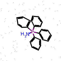 NP(c1ccccc1)(c1ccccc1)(c1ccccc1)c1ccccc1